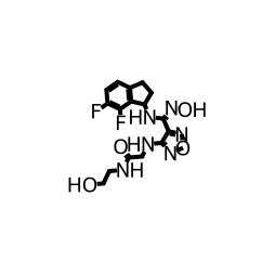 O=C(CNc1nonc1/C(=N\O)NC1CCc2ccc(F)c(F)c21)NCCO